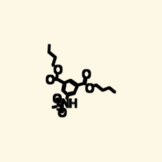 CCCCOC(=O)c1cc(NS(C)(=O)=O)cc(C(=O)OCCCC)c1